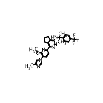 COc1nc(-c2nnc(NC(C)(C)c3ccc(C(F)(F)F)cc3)c3c2CCC3)ccc1-n1cnc(C)c1